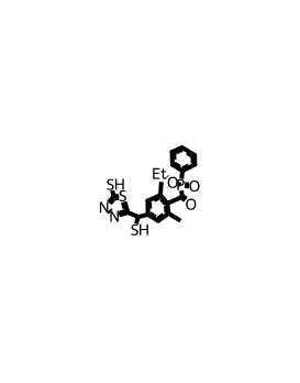 CCOP(=O)(C(=O)c1c(C)cc(C(S)c2nnc(S)s2)cc1C)c1ccccc1